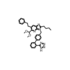 CCCCc1nc2cc(CCc3ccccc3)c(C(OC)OC)nc2n1Cc1ccc(-c2ccccc2-c2nnn[nH]2)cc1